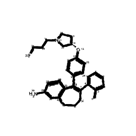 Cc1ccccc1C1=C(c2ccc(O[C@H]3CCN(CCCF)C3)cc2)c2ccc(N)cc2CCC1